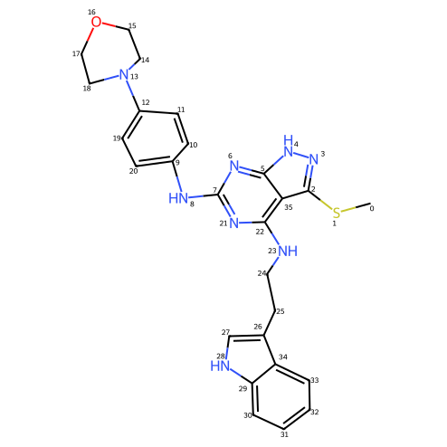 CSc1n[nH]c2nc(Nc3ccc(N4CCOCC4)cc3)nc(NCCc3c[nH]c4ccccc34)c12